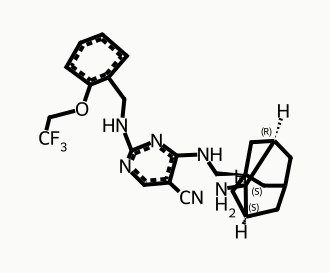 N#Cc1cnc(NCc2ccccc2OCC(F)(F)F)nc1NC[C@]12CC3C[C@H](C1)[C@@H](N)[C@@H](C3)C2